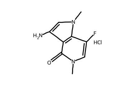 Cl.Cn1cc(F)c2c(c(N)cn2C)c1=O